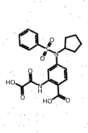 O=C(O)C(=O)Nc1cc(N(C2CCCC2)S(=O)(=O)c2ccccc2)ccc1C(=O)O